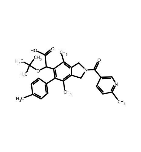 Cc1ccc(-c2c(C)c3c(c(C)c2C(OC(C)(C)C)C(=O)O)CN(C(=O)c2ccc(C)nc2)C3)cc1